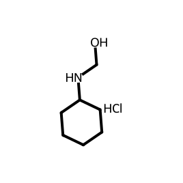 Cl.OCNC1CCCCC1